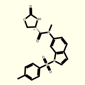 Cc1ccc(S(=O)(=O)n2ccc3ccc(N(C)C(=O)[C@@H]4COC(=O)N4)cc32)cc1